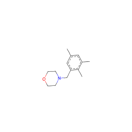 Cc1cc(C)c(C)c(CN2CCOCC2)c1